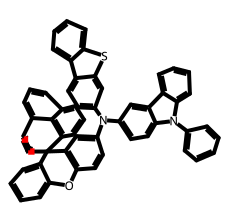 c1ccc(-n2c3ccccc3c3cc(N(c4ccc5c(c4)C4(c6ccccc6O5)c5ccccc5-c5cccc6cccc4c56)c4ccc5c(c4)sc4ccccc45)ccc32)cc1